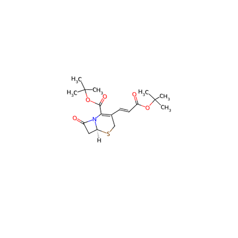 CC(C)(C)OC(=O)C=CC1=C(C(=O)OC(C)(C)C)N2C(=O)C[C@@H]2SC1